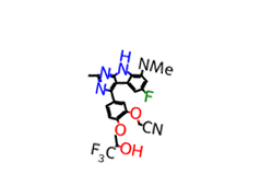 CNc1cc(F)cc2c1[nH]c1nc(C)nc(-c3ccc(OCC(O)C(F)(F)F)c(OCC#N)c3)c12